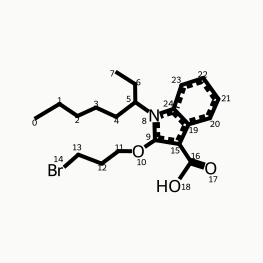 CCCCCC(CC)n1c(OCCCBr)c(C(=O)O)c2ccccc21